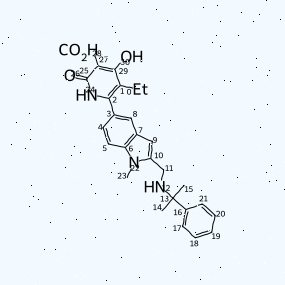 CCc1c(-c2ccc3c(c2)cc(CNC(C)(C)c2ccccc2)n3C)[nH]c(=O)c(C(=O)O)c1O